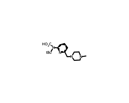 CN1CCN(Cc2cccc(N(C(=O)O)C(C)(C)C)n2)CC1